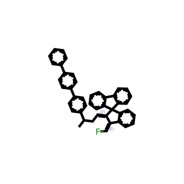 CC(C/C=C1\C(=C/F)c2ccccc2C12c1ccccc1-c1ccccc12)c1ccc(-c2ccc(-c3ccccc3)cc2)cc1